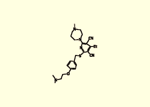 CCc1c(C#N)c(SCc2ccc(OCCN(C)C)cc2)nc(N2CCCN(C)CC2)c1C#N